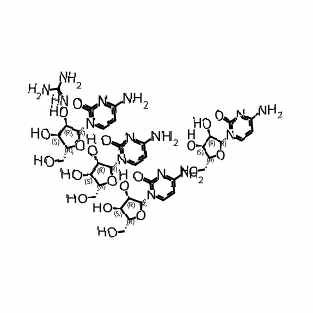 N=C(N)N.Nc1ccn([C@@H]2O[C@H](CO)[C@@H](O)[C@H]2O)c(=O)n1.Nc1ccn([C@@H]2O[C@H](CO)[C@@H](O)[C@H]2O)c(=O)n1.Nc1ccn([C@@H]2O[C@H](CO)[C@@H](O)[C@H]2O)c(=O)n1.Nc1ccn([C@@H]2O[C@H](CO)[C@@H](O)[C@H]2O)c(=O)n1